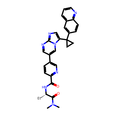 CC[C@H](NC(=O)c1ccc(-c2cnc3ncc(C4(c5ccc6ncccc6c5)CC4)n3c2)cn1)C(=O)N(C)C